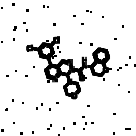 O=C(N[C@H]1CCOc2ccccc21)N1N=Cc2c(-c3cc(Cl)cc(Cl)c3)ccnc2C1N1CCOCC1